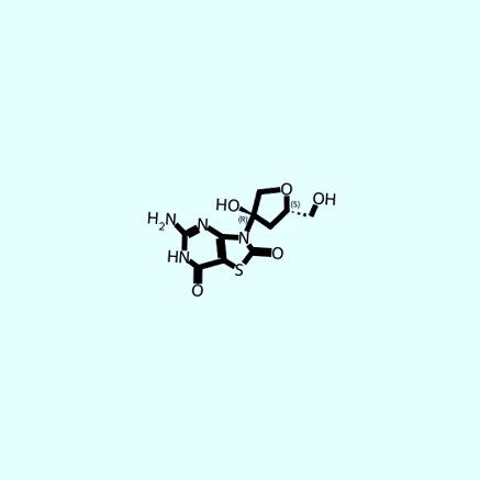 Nc1nc2c(sc(=O)n2[C@]2(O)CO[C@H](CO)C2)c(=O)[nH]1